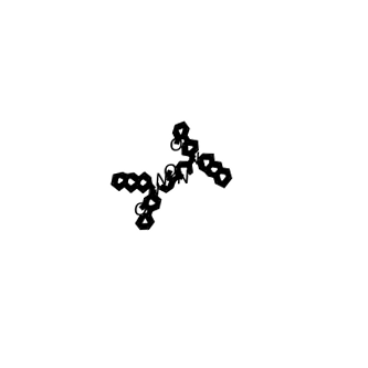 c1ccc2cc3cc(N(c4ccc5c(c4)oc4ccccc45)c4cnc5c(c4)oc4nc(N(c6ccc7cc8ccccc8cc7c6)c6ccc7c(c6)oc6ccccc67)ccc45)ccc3cc2c1